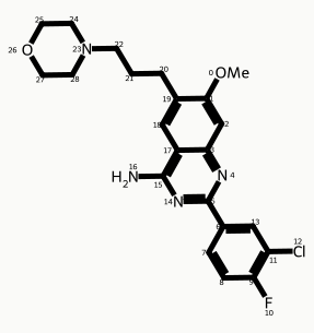 COc1cc2nc(-c3ccc(F)c(Cl)c3)nc(N)c2cc1CCCN1CCOCC1